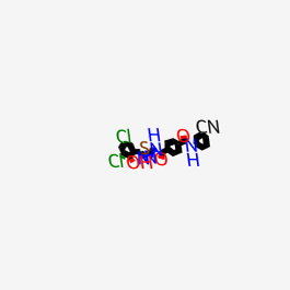 N#Cc1cccc(NC(=O)c2ccc(C(=O)Nc3nnc(-c4cc(Cl)cc(Cl)c4O)s3)cc2)c1